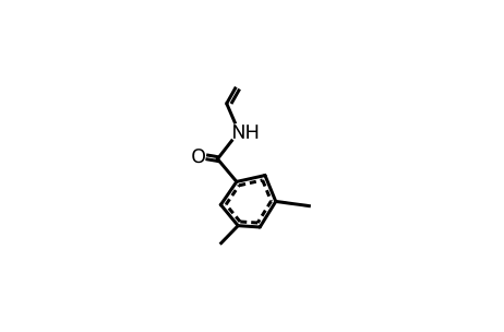 C=CNC(=O)c1cc(C)cc(C)c1